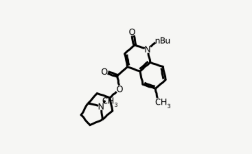 CCCCn1c(=O)cc(C(=O)OC2CC3CCC(C2)N3C)c2cc(C)ccc21